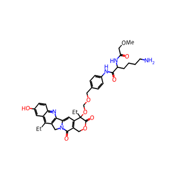 CCc1c2c(nc3ccc(O)cc13)-c1cc3c(c(=O)n1C2)COC(=O)C3(CC)OCOCc1ccc(NC(=O)C(CCCCN)NC(=O)COC)cc1